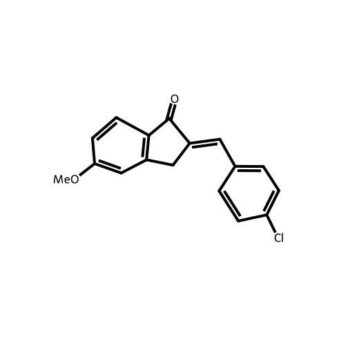 COc1ccc2c(c1)CC(=Cc1ccc(Cl)cc1)C2=O